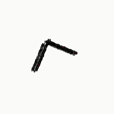 CCOCC.O.O.O.O.O.O.O.O.O.O.O.O.O.O.O.O.O.O.O.O.O.O.O.O.O.O.O.O.O.O.O.O.O.O.O.O.O.O.O.O.O.O.O.O.O.O.O